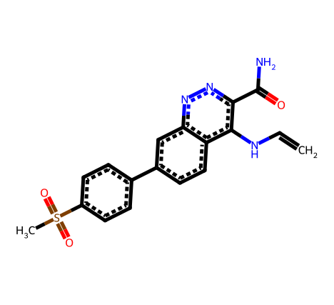 C=CNc1c(C(N)=O)nnc2cc(-c3ccc(S(C)(=O)=O)cc3)ccc12